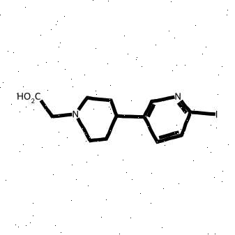 O=C(O)CN1CCC(c2ccc(I)nc2)CC1